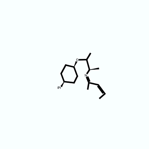 C/C=C\C(C)=N/[C@H](C)C(C)O[C@H]1CC[C@@H](C(C)C)CC1